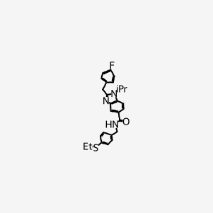 CCSc1ccc(CNC(=O)c2ccc3c(c2)nc(Cc2ccc(F)cc2)n3C(C)C)cc1